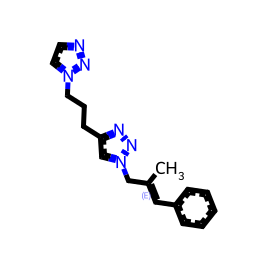 C/C(=C\c1ccccc1)Cn1cc(CCCn2ccnn2)nn1